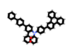 c1ccc(-c2ccc(-c3ccc(N(c4ccccc4)c4ccc(-c5ccc6c7ccccc7c7ccccc7c6c5)cc4)c(-c4ccccc4)c3)cc2)cc1